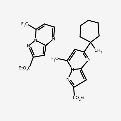 CCOC(=O)c1cc2nc(C3(C)CCCCC3)cc(C(F)(F)F)n2n1.CCOC(=O)c1cc2nccc(C(F)(F)F)n2n1